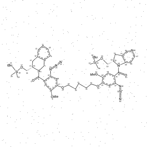 COc1cc(C(=O)N2Cc3ccccc3C[C@H]2CO[Si](C)(C)C(C)(C)C)c(N=[N+]=[N-])cc1OCCCCCOc1cc(N=[N+]=[N-])c(C(=O)N2c3ccncc3C[C@H]2CO[Si](C)(C)C(C)(C)C)cc1OC